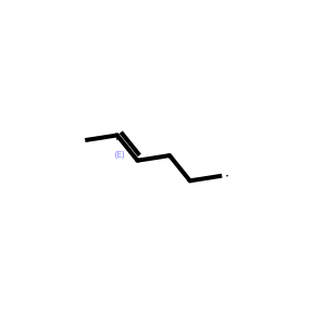 [CH2]CC/C=[C]/C